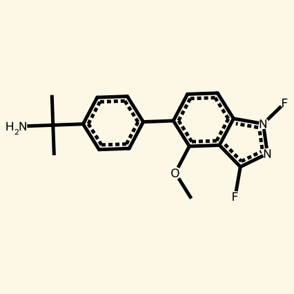 COc1c(-c2ccc(C(C)(C)N)cc2)ccc2c1c(F)nn2F